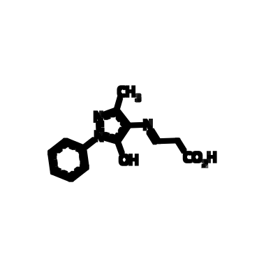 Cc1nn(-c2ccccc2)c(O)c1N=CCC(=O)O